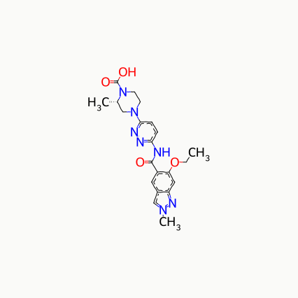 CCOc1cc2nn(C)cc2cc1C(=O)Nc1ccc(N2CCN(C(=O)O)[C@@H](C)C2)nn1